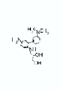 CN(C)c1cccc(-c2cc(N)ccc2NCC(O)CO)c1